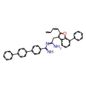 C=C/C=C\c1oc2c(-c3ccccc3)cccc2c1C/C(N)=N/C(=N)c1ccc(-c2ccc(-c3ccccc3)cc2)cc1